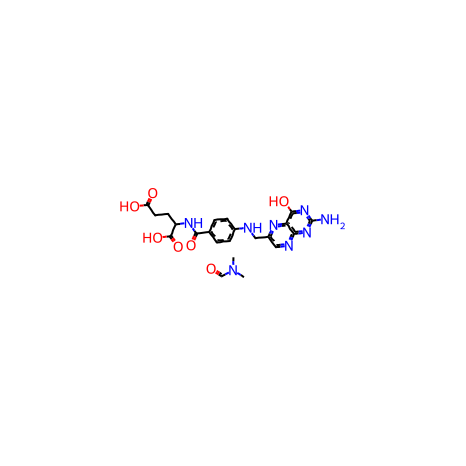 CN(C)C=O.Nc1nc(O)c2nc(CNc3ccc(C(=O)NC(CCC(=O)O)C(=O)O)cc3)cnc2n1